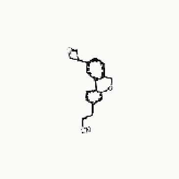 N#CCCc1ccc2c(c1)OCc1ccc(C3COC3)cc1-2